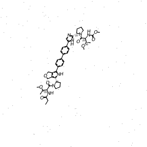 CCC(=O)N[C@H](C(=O)N1CCC[C@H]1c1[nH]c(-c2ccc(-c3ccc(-c4cnc([C@@H]5CCCN5C(=O)[C@@H](NC(=O)OC)[C@@H](C)OC)[nH]4)cc3)cc2)c2c1COC2)[C@@H](C)OC